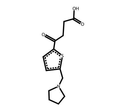 O=C(O)CCC(=O)c1ccc(CN2CCCC2)s1